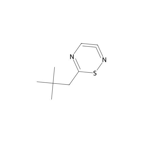 CC(C)(C)CC1=NC=C=NS1